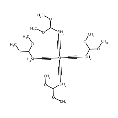 COC(OC)[SiH2]C#C[Si](C#C[SiH2]C(OC)OC)(C#C[SiH2]C(OC)OC)C#C[SiH2]C(OC)OC